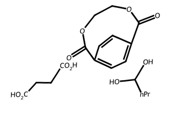 CCCC(O)O.O=C(O)CCC(=O)O.O=C1OCCOC(=O)c2ccc1cc2